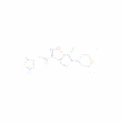 C[C@@H]1CN(c2[c]cc3c(NCc4c[nH]cn4)noc3c2F)C[C@H](C)O1